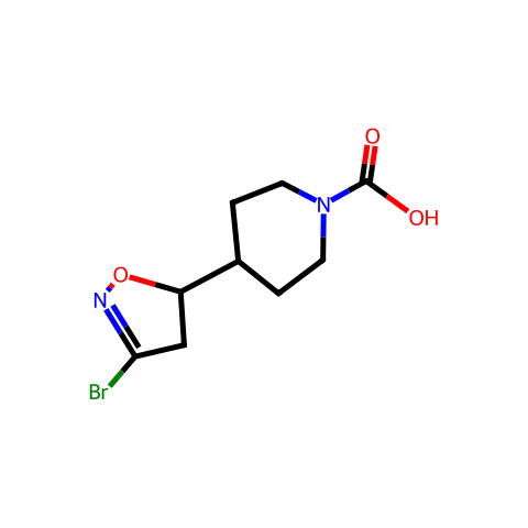 O=C(O)N1CCC(C2CC(Br)=NO2)CC1